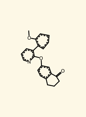 COc1ccccc1-c1cccnc1Oc1ccc2c(c1)C(=O)CCC2